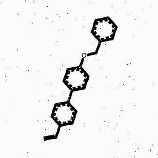 [CH]=Cc1ccc(-c2ccc(OCc3ccccc3)cc2)cc1